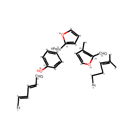 CC(=O)CCC=C(C)C.CCC=CC=CC=O.CCCCCc1ccco1.Cc1ccoc1C=O.Oc1ccccc1